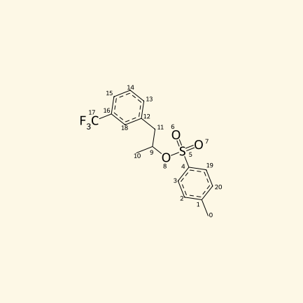 Cc1ccc(S(=O)(=O)OC(C)Cc2cccc(C(F)(F)F)c2)cc1